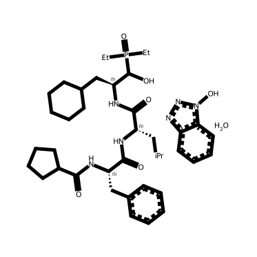 CCP(=O)(CC)C(O)[C@H](CC1CCCCC1)NC(=O)[C@H](CC(C)C)NC(=O)[C@H](Cc1ccccc1)NC(=O)C1CCCC1.O.On1nnc2ccccc21